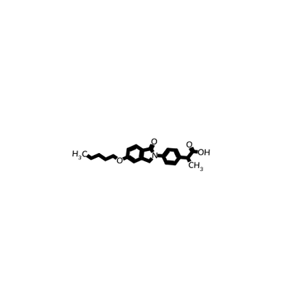 CCCCCOc1ccc2c(c1)CN(c1ccc(C(C)C(=O)O)cc1)C2=O